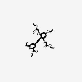 CCOC(=O)COc1cc(OCC)cc(OCC(=O)OCC)c1C#Cc1cc(CC)nc(C(=O)OCC)c1